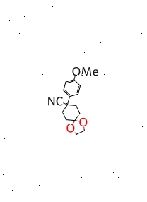 COc1ccc(C2(C#N)CCC3(CC2)OCCO3)cc1